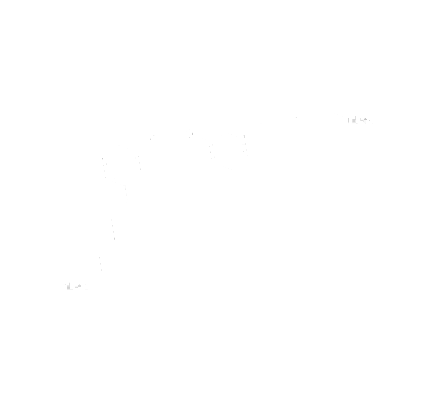 CCCCCCCCCCCCCCCc1cccc(OCOc2cccc(CCCCCCCCCCCCCCC)c2)c1